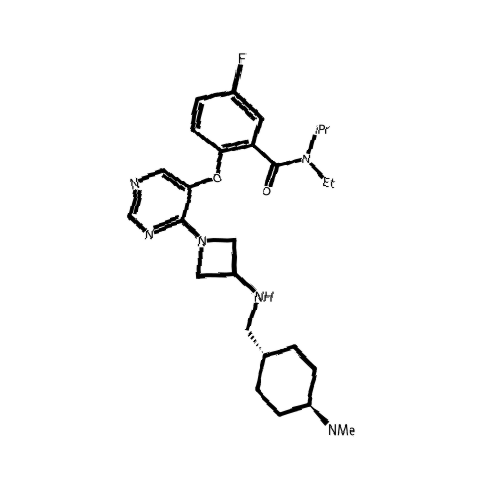 CCN(C(=O)c1cc(F)ccc1Oc1cncnc1N1CC(NC[C@H]2CC[C@H](NC)CC2)C1)C(C)C